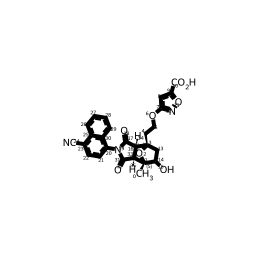 C[C@@]12O[C@@](CCOc3cc(C(=O)O)on3)(CC1O)[C@@H]1C(=O)N(c3ccc(C#N)c4ccccc34)C(=O)[C@@H]12